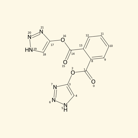 O=C(Oc1c[nH]nn1)c1ccccc1C(=O)Oc1c[nH]nn1